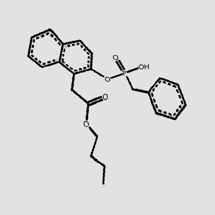 CCCCOC(=O)Cc1c(OP(=O)(O)Cc2ccccc2)ccc2ccccc12